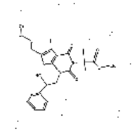 CCOOCc1sc2c(c1C)c(=O)n(C(C)(C)C(=O)OC(C)(C)C)c(=O)n2CC(O)c1ccccc1